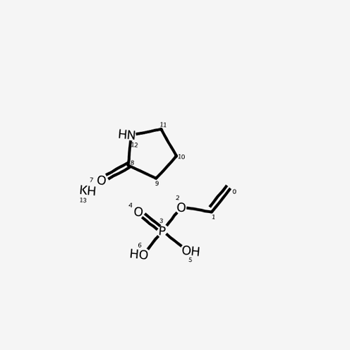 C=COP(=O)(O)O.O=C1CCCN1.[KH]